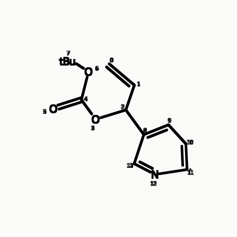 C=CC(OC(=O)OC(C)(C)C)c1cc[c]nc1